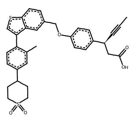 CC#C[C@@H](CC(=O)O)c1ccc(OCc2ccc3scc(-c4ccc(C5CCS(=O)(=O)CC5)cc4C)c3c2)cc1